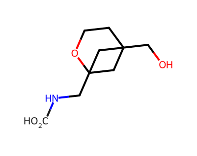 O=C(O)NCC12CC(CO)(CCO1)C2